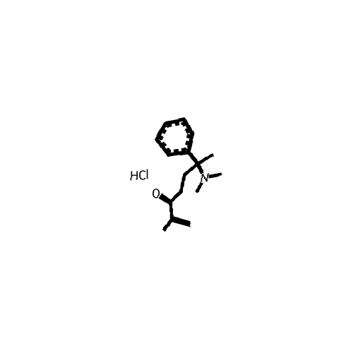 C=C(C)C(=O)CCC(C)(c1ccccc1)N(C)C.Cl